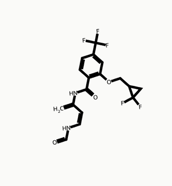 C=C(/C=C\NC=O)NC(=O)c1ccc(C(F)(F)F)cc1OCC1CC1(F)F